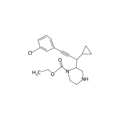 CCOC(=O)N1CCNCC1C(C#Cc1cccc(Cl)c1)C1CC1